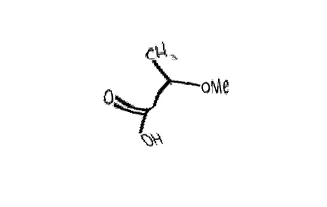 CO[C](C)C(=O)O